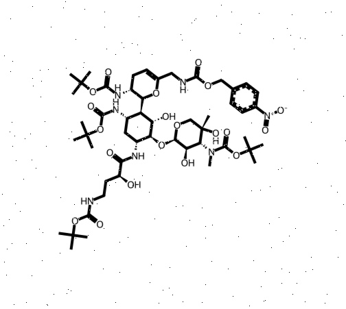 CN(C(=O)OC(C)(C)C)[C@@H]1[C@@H](O)[C@@H](O[C@@H]2[C@@H](O)[C@H](C3OC(CNC(=O)OCc4ccc([N+](=O)[O-])cc4)=CC[C@H]3NC(=O)OC(C)(C)C)[C@@H](NC(=O)OC(C)(C)C)C[C@H]2NC(=O)[C@@H](O)CCNC(=O)OC(C)(C)C)OC[C@]1(C)O